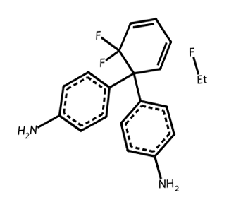 CCF.Nc1ccc(C2(c3ccc(N)cc3)C=CC=CC2(F)F)cc1